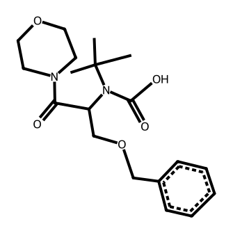 CC(C)(C)N(C(=O)O)C(COCc1ccccc1)C(=O)N1CCOCC1